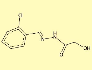 O=C(CO)NN=Cc1ccccc1Cl